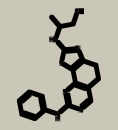 CC(CO)Nc1nc2c(s1)-c1nc(Nc3ccccc3)ncc1CC2